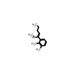 CCC/C=C(\PC)c1cccc(C)c1C